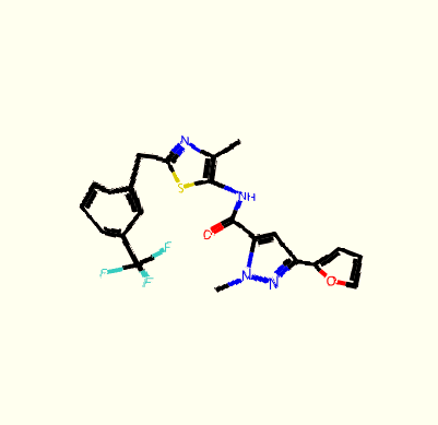 Cc1nc(Cc2cccc(C(F)(F)F)c2)sc1NC(=O)c1cc(-c2ccco2)nn1C